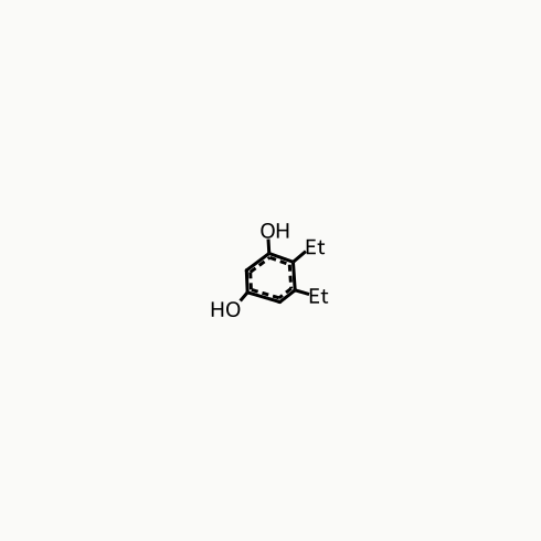 CCc1cc(O)cc(O)c1CC